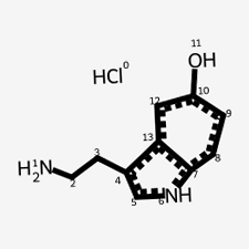 Cl.NCCc1c[nH]c2ccc(O)cc12